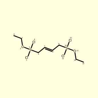 CCO[Si](Cl)(Cl)CC=CC[Si](Cl)(Cl)OCC